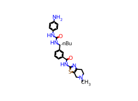 CCCC[C@@H](NC(=O)Nc1ccc(N)cc1)c1cccc(C(=O)Nc2nc3c(s2)CN(C)CC3)c1